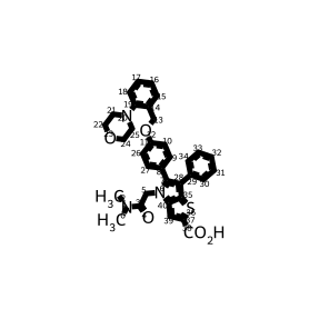 CN(C)C(=O)Cn1c(-c2ccc(OCc3ccccc3N3CCOCC3)cc2)c(-c2ccccc2)c2sc(C(=O)O)cc21